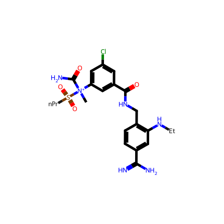 CCCS(=O)(=O)[N+](C)(C(N)=O)c1cc(Cl)cc(C(=O)NCc2ccc(C(=N)N)cc2NCC)c1